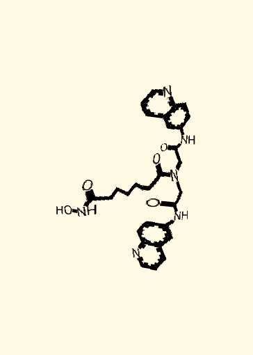 O=C(CCCCCC(=O)N(CC(=O)Nc1ccc2ncccc2c1)CC(=O)Nc1ccc2ncccc2c1)NO